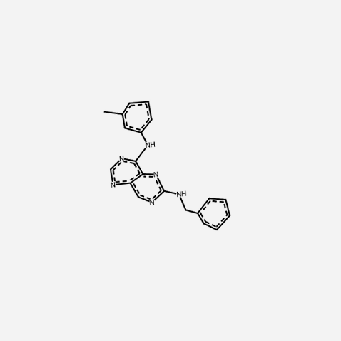 Cc1cccc(Nc2ncnc3cnc(NCc4ccccc4)nc23)c1